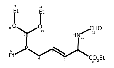 CCOC(=O)C(/C=C/CP(CC)C(OCC)OCC)NC=O